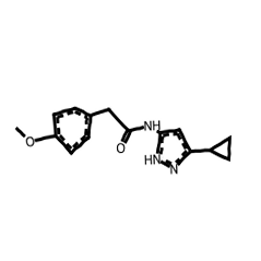 COc1ccc(CC(=O)Nc2cc(C3CC3)n[nH]2)cc1